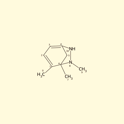 CC1=CC=C2CC1(C)N(C)N2